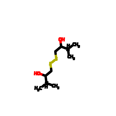 C[SiH](C)C(O)CSSCC(O)[SiH](C)C